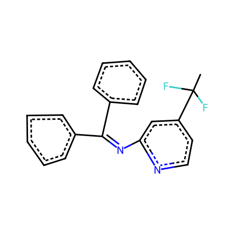 CC(F)(F)c1ccnc(N=C(c2ccccc2)c2ccccc2)c1